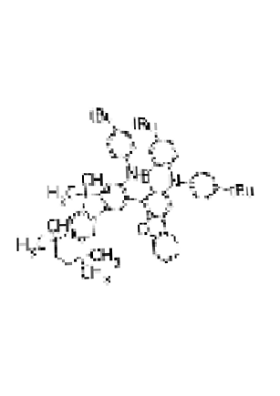 CC(C)(C)c1ccc(N2B3c4cc(C(C)(C)C)ccc4N(c4ccc(C(C)(C)C)cc4)c4cc5c(oc6ccccc65)c(c43)-c3cc4c(cc32)C(C)(C)c2cc3c(cc2-4)C(C)(C)CCC3(C)C)cc1